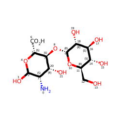 N[C@@H]1C(O)O[C@H](C(=O)O)[C@@H](O[C@H]2O[C@H](CO)[C@@H](O)[C@H](O)[C@H]2O)[C@@H]1O